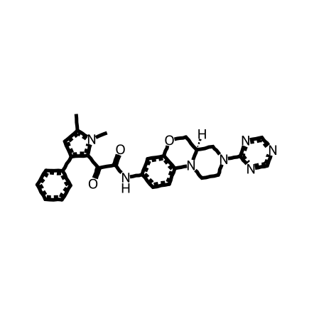 Cc1cc(-c2ccccc2)c(C(=O)C(=O)Nc2ccc3c(c2)OC[C@H]2CN(c4ncncn4)CCN32)n1C